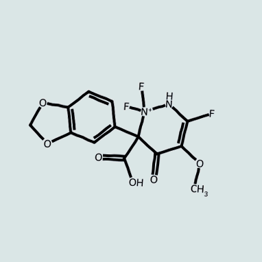 COC1=C(F)N[N+](F)(F)C(C(=O)O)(c2ccc3c(c2)OCO3)C1=O